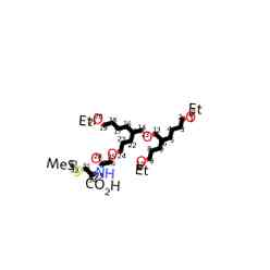 CCOCCCCC(CCCOCC)COCC(CCCCOCC)CCCOCC(=O)NC(CSSC)C(=O)O